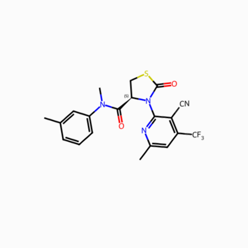 Cc1cccc(N(C)C(=O)[C@H]2CSC(=O)N2c2nc(C)cc(C(F)(F)F)c2C#N)c1